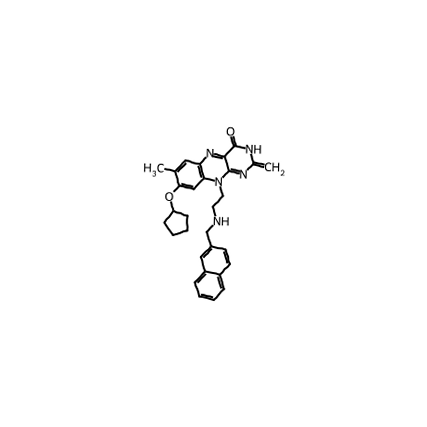 C=c1nc2c(c(=O)[nH]1)=Nc1cc(C)c(OC3CCCC3)cc1N2CCNCc1ccc2ccccc2c1